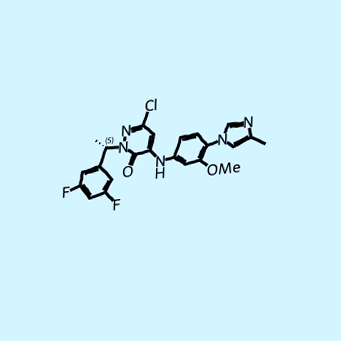 COc1cc(Nc2cc(Cl)nn([C@@H](C)c3cc(F)cc(F)c3)c2=O)ccc1-n1cnc(C)c1